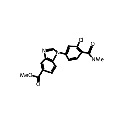 CNC(=O)c1ccc(-n2cnc3cc(C(=O)OC)ccc32)cc1Cl